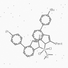 CCCC(C)C1=Cc2c(-c3ccc(C(C)(C)C)cc3)cccc2[CH]1[Zr]([Cl])([Cl])([CH]1C(CC)=Cc2c(-c3ccc(C(C)C)cc3)cccc21)[SiH](C)C